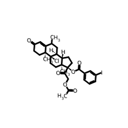 CC(=O)OCC(=O)[C@@]1(OC(=O)c2cccc(I)c2)CC[C@H]2[C@@H]3CC(C)C4=CC(=O)CC[C@]4(C)[C@@]3(Cl)CC[C@@]21C